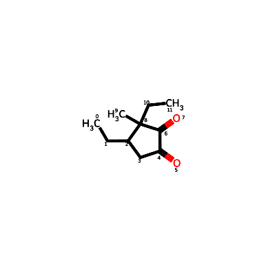 CCC1CC(=O)C(=O)C1(C)CC